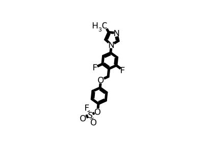 Cc1cn(-c2cc(F)c(COc3ccc(OS(=O)(=O)F)cc3)c(F)c2)cn1